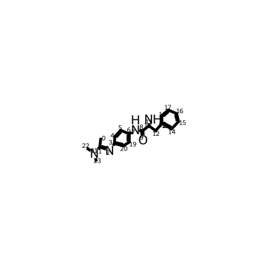 C/C(=N\c1ccc(NC(=O)[C@@H](N)Cc2ccccc2)cc1)N(C)C